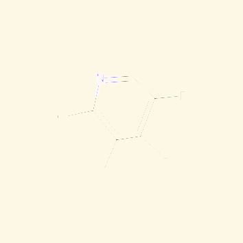 Cc1c(Cl)ncc(F)c1F